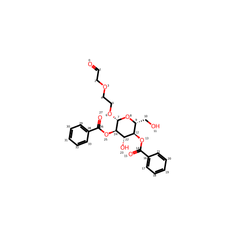 O=CCOCCO[C@@H]1O[C@H](CO)[C@@H](OC(=O)c2ccccc2)[C@H](O)[C@H]1OC(=O)c1ccccc1